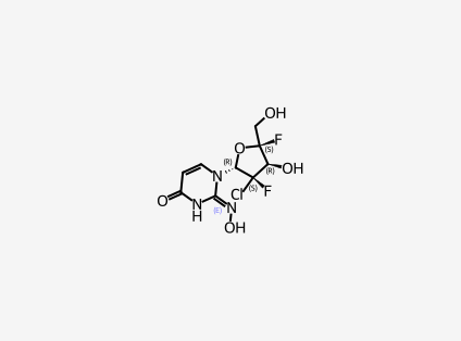 O=c1ccn([C@@H]2O[C@](F)(CO)[C@@H](O)[C@]2(F)Cl)/c(=N/O)[nH]1